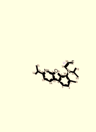 Cc1ccc2c(oc3nc(C(C)C)ccc32)c1N(/C=C\F)C(C)C